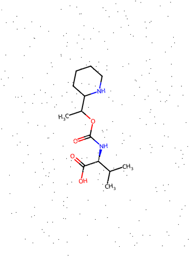 CC(OC(=O)N[C@H](C(=O)O)C(C)C)C1CCCCN1